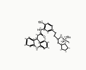 CC(C)(C)c1ccc(CCC(CC2CCCC2)O[Si](C)(C)C(C)(C)C)cc1NC(=O)CC1c2ccccc2Oc2ccccc21